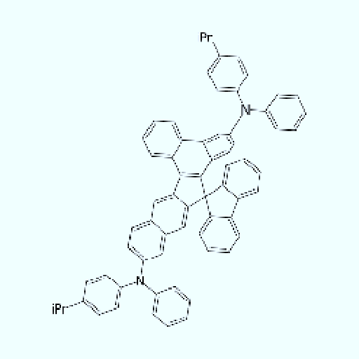 CC(C)c1ccc(N(c2ccccc2)c2ccc3cc4c(cc3c2)C2(c3ccccc3-c3ccccc32)c2c-4c3ccccc3c3cc(N(c4ccccc4)c4ccc(C(C)C)cc4)ccc23)cc1